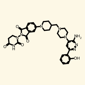 Nc1nnc(-c2ccccc2O)cc1N1CCN(CC2CCN(c3ccc4c(c3)C(=O)N(N3CCC(=O)NC3=O)C4=O)CC2)CC1